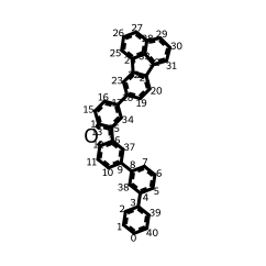 c1ccc(-c2cccc(-c3ccc4oc5ccc(-c6ccc7c(c6)-c6cccc8cccc-7c68)cc5c4c3)c2)cc1